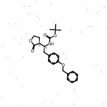 CC(C)(C)OC(=O)N[C@@H](Cc1ccc(OCc2ccccc2)cc1)[C@@H]1CCOC1=O